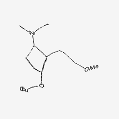 COCCC1C(OC(C)(C)C)CC1N(C)C